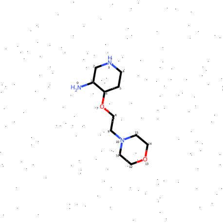 NC1CNCCC1OCCN1CCOCC1